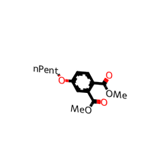 CCCCCOc1ccc(C(=O)OC)c(C(=O)OC)c1